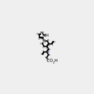 C=CC1=C(/C=C(\C=C)CCC(=O)O)CCN(c2ccn[nH]2)C1